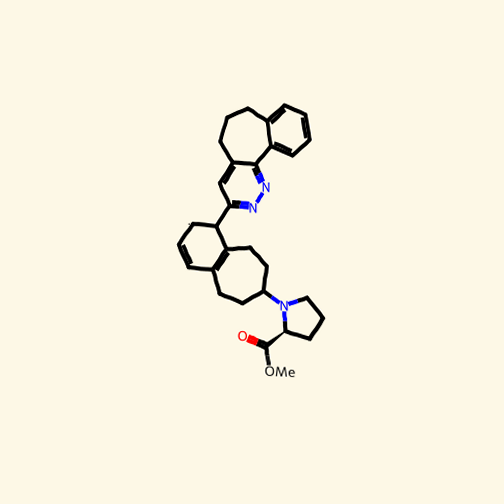 COC(=O)[C@@H]1CCCN1C1CCC2=C(CC1)C(c1cc3c(nn1)-c1ccccc1CCC3)[CH]C=C2